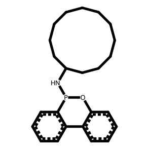 c1ccc2c(c1)OP(NC1CCCCCCCCCCC1)c1ccccc1-2